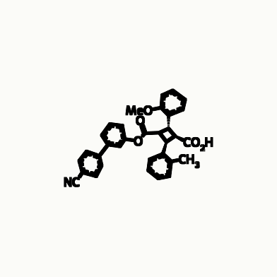 COc1ccccc1[C@H]1C(C(=O)Oc2cccc(-c3ccc(C#N)cc3)c2)[C@H](c2ccccc2C)[C@@H]1C(=O)O